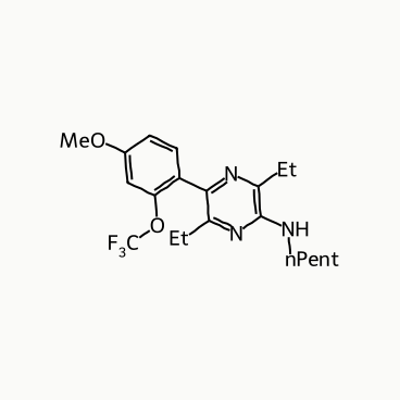 CCCCCNc1nc(CC)c(-c2ccc(OC)cc2OC(F)(F)F)nc1CC